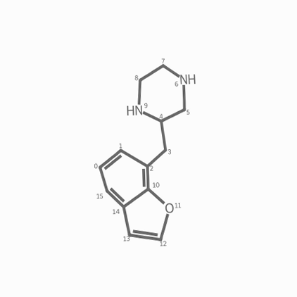 c1cc(CC2CNCCN2)c2occc2c1